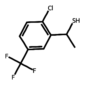 CC(S)c1cc(C(F)(F)F)ccc1Cl